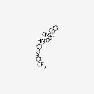 O=C(NCc1cccc(CSc2ccc(C(F)(F)F)cc2)c1)C1CCCN1[S+]([O-])c1cc2ccccc2o1